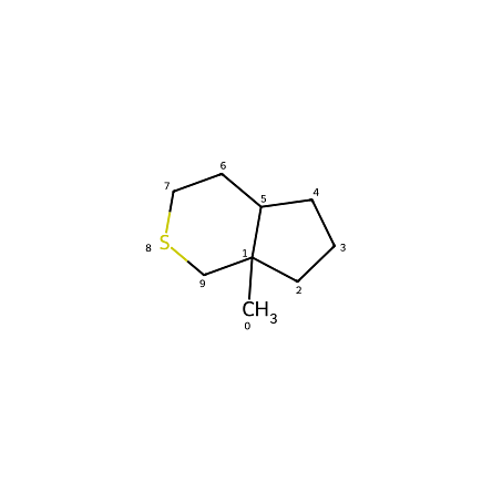 CC12CCCC1CCSC2